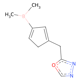 CB(C)C1=CCC(Cc2nnco2)=C1